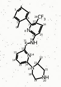 Cc1ccccc1-c1nc(NSc2cccc(N3CCNCC3C)n2)ccc1C(F)(F)F